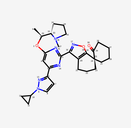 C[C@H](Oc1cc(-c2ccn(C3CC3)n2)nc(-c2noc3c2CCC[C@@]32CCCCC2=O)n1)[C@@H]1CCCN1C